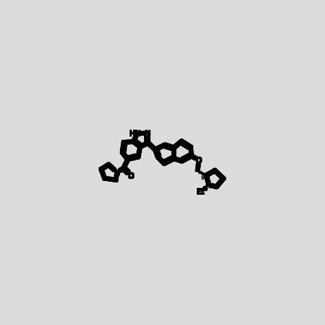 CCN1CCC[C@H]1COc1ccc2cc(-c3n[nH]c4ccc(C(=O)N5CCCC5)cc34)ccc2c1